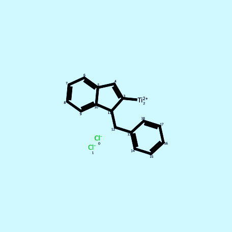 [Cl-].[Cl-].[Ti+2][C]1=Cc2ccccc2C1Cc1ccccc1